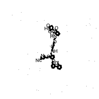 N#Cc1cncc(COc2cc(OCc3cccc(-c4ccccc4F)c3Cl)ccc2CNCCOCCOCCNc2cccc3c2C(=O)N(C2CCC(=O)NC2=O)C3=O)c1